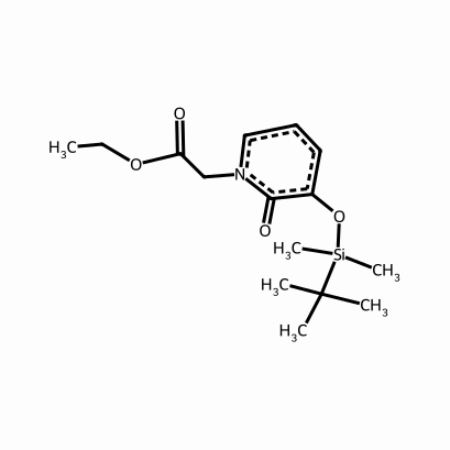 CCOC(=O)Cn1cccc(O[Si](C)(C)C(C)(C)C)c1=O